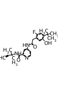 C#CC(C)(C)NC(=O)c1cc(NC(=O)Cc2cc(O)c(C(C)(C)C)cc2F)ccn1